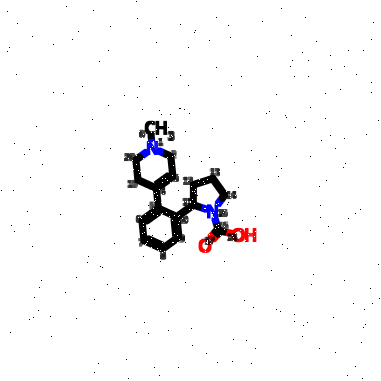 CN1CC=C(c2ccccc2C2CCCN2C(=O)O)CC1